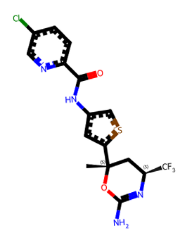 C[C@@]1(c2cc(NC(=O)c3ccc(Cl)cn3)cs2)C[C@@H](C(F)(F)F)N=C(N)O1